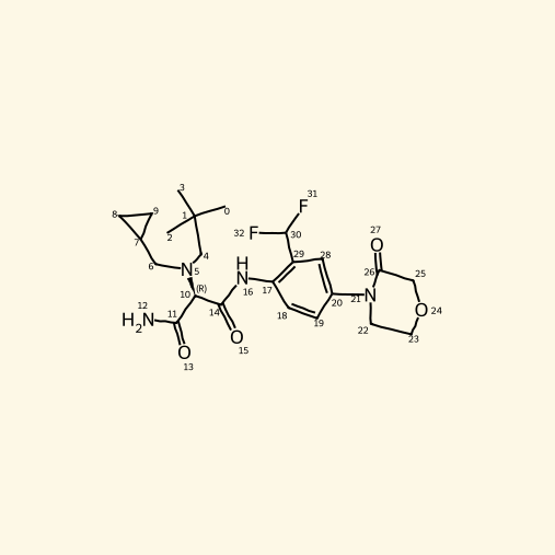 CC(C)(C)CN(CC1CC1)[C@H](C(N)=O)C(=O)Nc1ccc(N2CCOCC2=O)cc1C(F)F